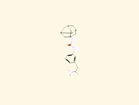 CC(Cc1cccc(NC(=O)NC23CC4CC(CC(C4)C2)C3)c1)N(C(=O)O)C(C)(C)C